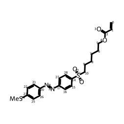 C=CC(=O)OCCCCCCS(=O)(=O)c1ccc(N=Nc2ccc(SC)cc2)cc1